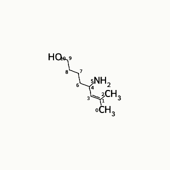 CC(C)=CC(N)CCCCO